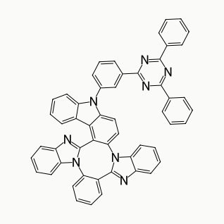 c1ccc(-c2nc(-c3ccccc3)nc(-c3cccc(-n4c5ccccc5c5c6c(ccc54)n4c5ccccc5nc4c4ccccc4n4c5ccccc5nc64)c3)n2)cc1